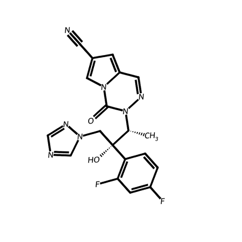 C[C@@H](n1ncc2cc(C#N)cn2c1=O)[C@](O)(Cn1cncn1)c1ccc(F)cc1F